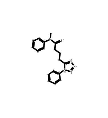 CN(C(=S)CCCc1nnnn1-c1ccccc1)c1ccccc1